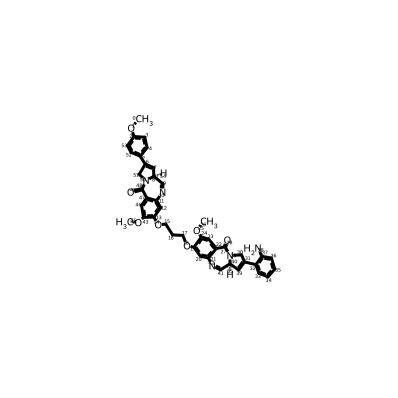 COc1ccc(C2=C[C@H]3C=Nc4cc(OCCCOc5cc6c(cc5OC)C(=O)N5CC(c7ccccc7N)=C[C@H]5C=N6)c(OC)cc4C(=O)N3C2)cc1